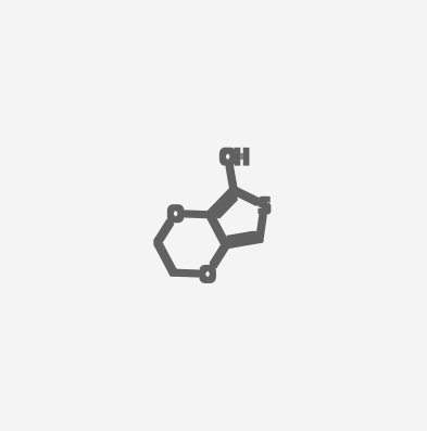 Oc1scc2c1OCCO2